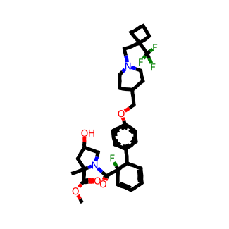 COC(=O)C1(C)CC(O)CN1C(=O)C1(F)C=CC=CC1c1ccc(OCC2CCN(CC3(C(F)(F)F)CCC3)CC2)cc1